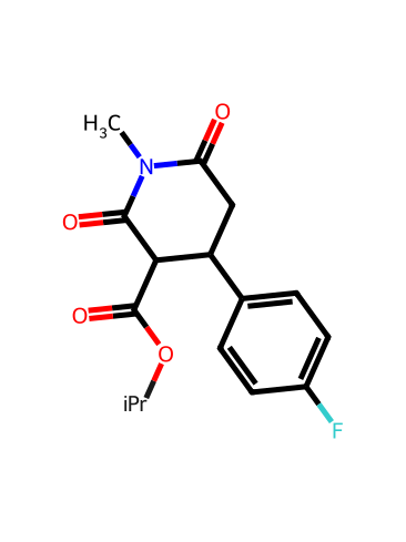 CC(C)OC(=O)C1C(=O)N(C)C(=O)CC1c1ccc(F)cc1